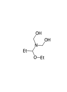 CCOC(CC)N(CO)CO